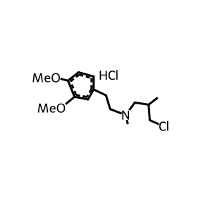 COc1ccc(CCN(C)CC(C)CCl)cc1OC.Cl